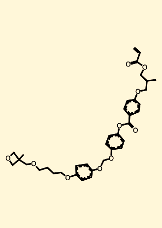 C=CC(=O)OCC(C)COc1ccc(C(=O)Oc2ccc(OCOc3ccc(OCCCCOCC4(C)COC4)cc3)cc2)cc1